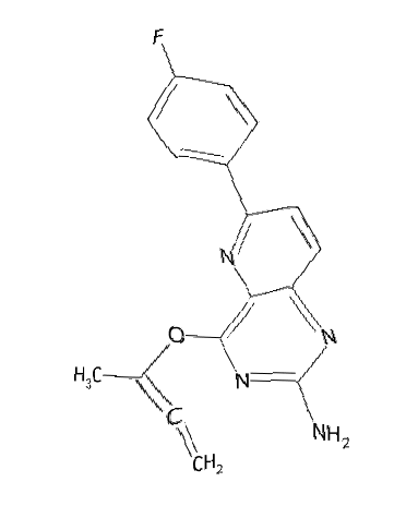 C=C=C(C)Oc1nc(N)nc2ccc(-c3ccc(F)cc3)nc12